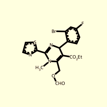 CCOC(=O)C1=C(COC=O)N(C)C(c2nccs2)=NC1c1ccc(F)cc1Br